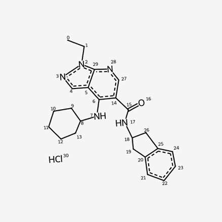 CCn1ncc2c(NC3CCCCC3)c(C(=O)NC3Cc4ccccc4C3)cnc21.Cl